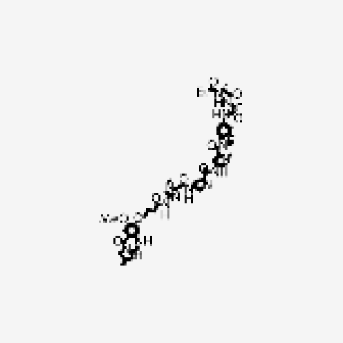 C=C1C[C@H]2CNc3cc(OCCCC(=O)Nc4cn(C)c(C(=O)Nc5cc(C(=O)Nc6cc(C(=O)n7ccc8cc(NC(=O)[C@H](C)NC(=O)[C@H](C)NC(=O)CC)ccc87)n(C)c6)n(C)c5)n4)c(OC)cc3C(=O)N2C1